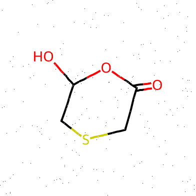 O=C1CSCC(O)O1